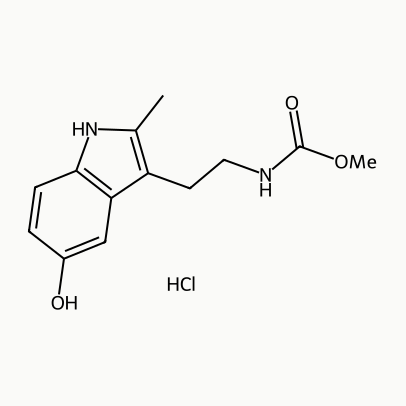 COC(=O)NCCc1c(C)[nH]c2ccc(O)cc12.Cl